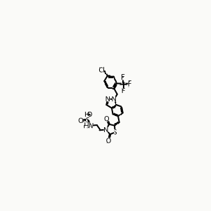 O=C1SC(=Cc2ccc3c(cnn3Cc3ccc(Cl)cc3C(F)(F)F)c2)C(=O)N1CCN[SH](=O)=O